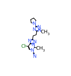 CC1N(C#N)C=C(Cl)c2nc(CCc3nc(N4CCCC4)nn3C)nn21